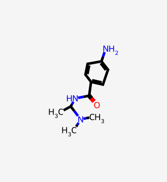 CC(NC(=O)c1ccc(N)cc1)N(C)C